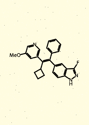 COc1cncc(/C(=C(\c2[c]cccc2)c2ccc3[nH]nc(F)c3c2)C2CCC2)c1